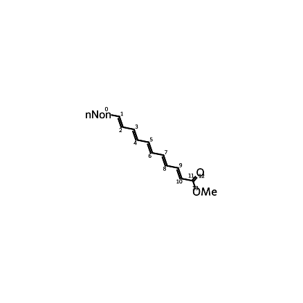 CCCCCCCCCC=CC=CC=CC=CC=CC(=O)OC